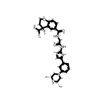 C[C@@H]1CN(c2cccc(-c3csc(NC(=O)CNC(=O)c4ccc5c(c4)[C@](F)(C(F)F)CCO5)n3)c2)C[C@H](C)O1